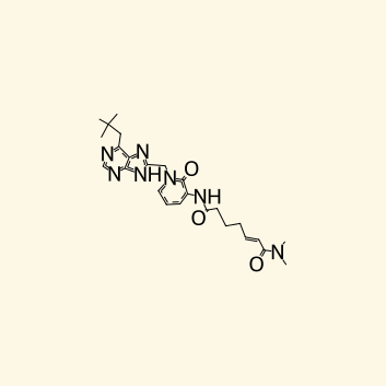 CN(C)C(=O)/C=C/CCCC(=O)Nc1cccn(Cc2nc3c(CC(C)(C)C)ncnc3[nH]2)c1=O